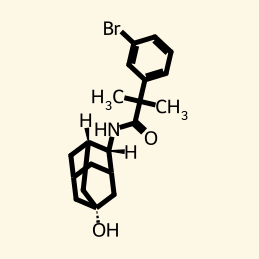 CC(C)(C(=O)N[C@@H]1C2CC3C[C@H]1C[C@](O)(C3)C2)c1cccc(Br)c1